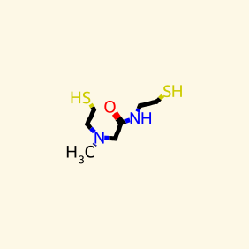 CN(CCS)CC(=O)NCCS